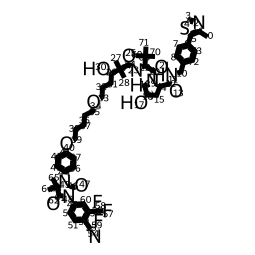 Cc1ncsc1-c1ccc(CNC(=O)C2C[C@@H](O)CN2C(=O)C(NC(=O)C(C)(C)C(O)CCCOCCCCCOc2ccc(N3C(=O)N(c4ccc(C#N)c(C(F)(F)F)c4)C(=O)C3(C)C)cc2)C(C)(C)C)cc1